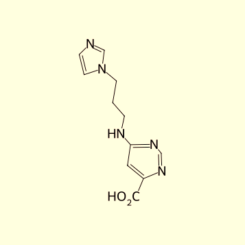 O=C(O)c1cc(NCCCn2ccnc2)ncn1